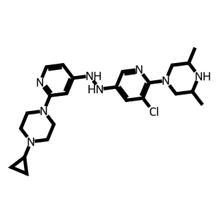 CC1CN(c2ncc(NNc3ccnc(N4CCN(C5CC5)CC4)c3)cc2Cl)CC(C)N1